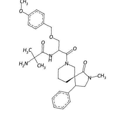 COc1ccc(COCC(NC(=O)C(C)(C)N)C(=O)N2CCC[C@@]3(C2)C(=O)N(C)CC3c2ccccc2)cc1